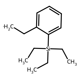 [CH2]Cc1ccccc1[Si](CC)(CC)CC